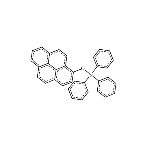 c1ccc([Si](Oc2ccc3ccc4cccc5ccc2c3c45)(c2ccccc2)c2ccccc2)cc1